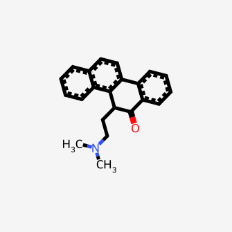 CN(C)CCC1C(=O)c2ccccc2-c2ccc3ccccc3c21